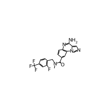 CN(Cc1ccc(C(F)(F)F)cc1F)C(=O)c1ccc2nc(N)c3cncn3c2c1